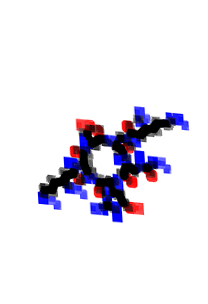 N=C1NC([C@@H]2NC(=O)/C(=C/NC(N)=O)NC(=O)[C@H](CNC(=O)C[C@@H](N)CCCN)NC(=O)[C@H](CO)NC(=O)[C@@H](NC(=O)C[C@@H](N)CCCN)CNC2=O)C[C@@H](O)N1